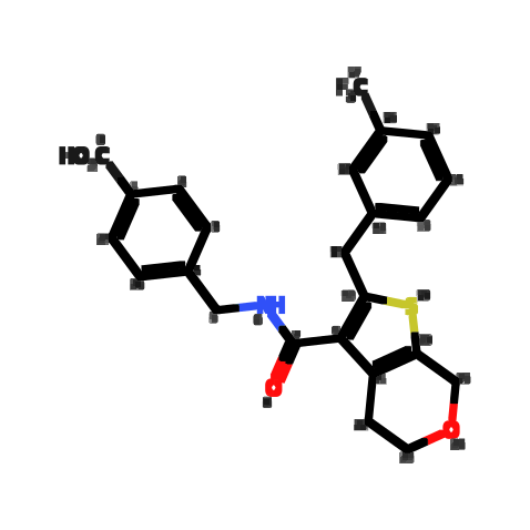 O=C(O)c1ccc(CNC(=O)c2c(Cc3cccc(C(F)(F)F)c3)sc3c2CCOC3)cc1